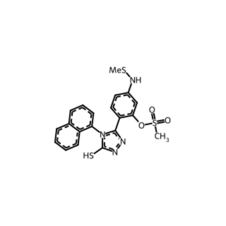 CSNc1ccc(-c2nnc(S)n2-c2cccc3ccccc23)c(OS(C)(=O)=O)c1